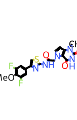 COc1c(F)cc(-c2csc(NC(=O)Cn3ccc4c3c(=O)[nH]c(=O)n4C)n2)cc1F